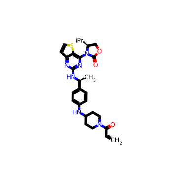 C=CC(=O)N1CCC(Nc2ccc([C@H](C)Nc3nc(N4C(=O)OC[C@@H]4C(C)C)c4sccc4n3)cc2)CC1